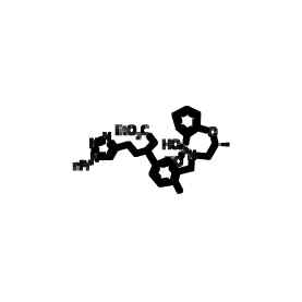 CCCn1cc(CCC(CC(=O)OCC)c2ccc(C)c(CN3C[C@@H](C)Oc4ccccc4S3(O)O)c2)nn1